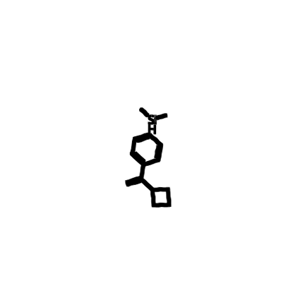 C=C(c1ccc([SiH](C)C)cc1)C1CCC1